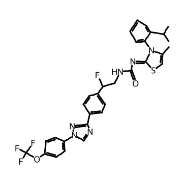 Cc1cs/c(=N\C(=O)NCC(F)c2ccc(-c3ncn(-c4ccc(OC(F)(F)F)cc4)n3)cc2)n1-c1ccccc1C(C)C